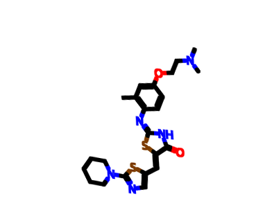 Cc1cc(OCCN(C)C)ccc1N=C1NC(=O)C(=Cc2cnc(N3CCCCC3)s2)S1